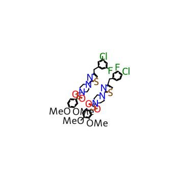 COc1ccc(S(=O)(=O)N2CCN(c3nc(Cc4cc(F)cc(Cl)c4)cs3)CC2)cc1OC.COc1ccc(S(=O)(=O)N2CCN(c3nc(Cc4ccc(Cl)c(F)c4)cs3)CC2)cc1OC